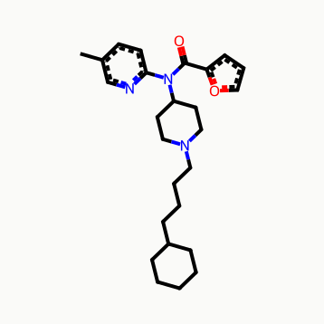 Cc1ccc(N(C(=O)c2ccco2)C2CCN(CCCCC3CCCCC3)CC2)nc1